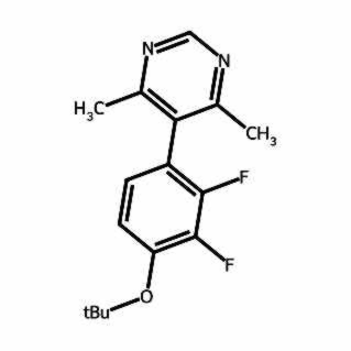 Cc1ncnc(C)c1-c1ccc(OC(C)(C)C)c(F)c1F